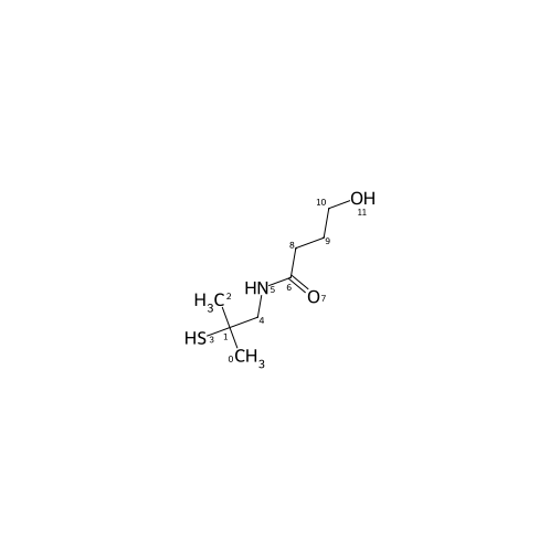 CC(C)(S)CNC(=O)CCCO